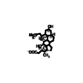 CNCC(=O)C1C[C@@H](O)C[C@H]2CCC3C(C[C@H](O)[C@@]4(C)C3CC[C@@H]4[C@H](C)CCC(=O)[O-])[C@@]12C.[K+]